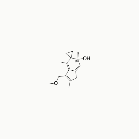 COCC1=C(C)CC2=C[C@@](C)(O)C3(CC3)C(C)=C21